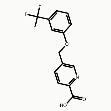 O=C(O)c1ccc(COc2cccc(C(F)(F)F)c2)cn1